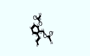 C/C=C/C1=CC=CC(OC(C)=O)C1COC(C)=O